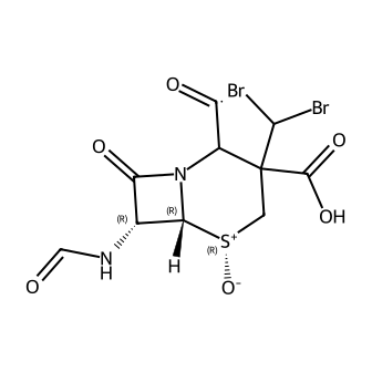 O=[C]C1N2C(=O)[C@@H](NC=O)[C@H]2[S@@+]([O-])CC1(C(=O)O)C(Br)Br